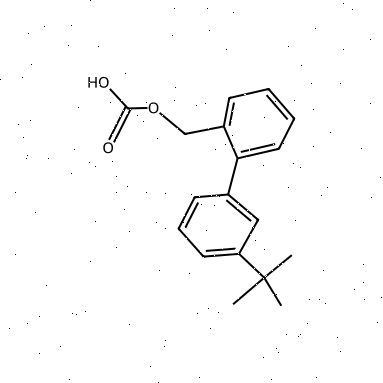 CC(C)(C)c1cccc(-c2ccccc2COC(=O)O)c1